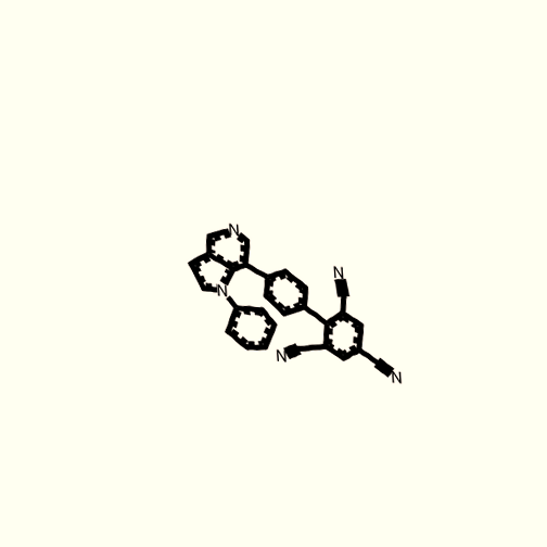 N#Cc1cc(C#N)c(-c2ccc(-c3cncc4ccn(-c5ccccc5)c34)cc2)c(C#N)c1